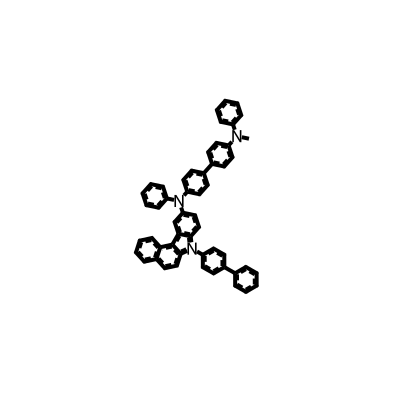 CN(c1ccccc1)c1ccc(-c2ccc(N(c3ccccc3)c3ccc4c(c3)c3c5ccccc5ccc3n4-c3ccc(-c4ccccc4)cc3)cc2)cc1